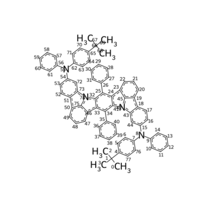 CC(C)(C)c1ccc(N(c2ccccc2)c2ccc3c4cccc5c6c(-c7ccccc7)c7c(c(-c8ccccc8)c6n(c3c2)c45)c2cccc3c4ccc(N(c5ccccc5)c5ccc(C(C)(C)C)cc5)cc4n7c32)cc1